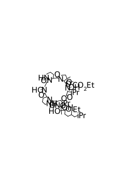 CCOC(=O)COC1(C)CCN2C(=O)C3CCCNN3C(=O)CN(O)C(=O)C3CCCNN3C(=O)C(NC(=O)C(C)(O)C3(O)CCC(CC(C)C)C(CC)O3)C(C(C)C)OC(=O)C(C(C)C)N(O)C(=O)C21